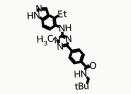 CCc1c(Nc2nc(-c3ccc(C(=O)NCC(C)(C)C)cc3)nn2C)ccc2[nH]ncc12